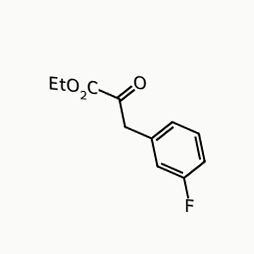 CCOC(=O)C(=O)Cc1cccc(F)c1